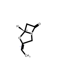 C/C=C1\CN2C(=O)C[C@H]2O1